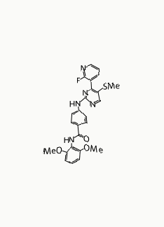 COc1cccc(OC)c1NC(=O)c1ccc(Nc2ncc(SC)c(-c3cccnc3F)n2)cc1